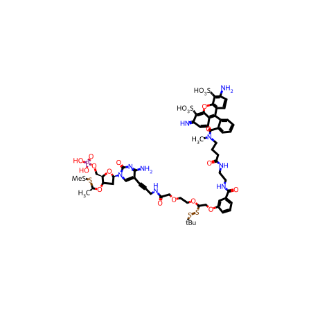 CSS[C@H](C)OC1C[C@H](n2cc(C#CCNC(=O)COCCOC(COc3cccc(C(=O)NCCNC(=O)CCCN(C)C(=O)c4ccccc4-c4c5ccc(=N)c(S(=O)(=O)O)c-5oc5c(S(=O)(=O)O)c(N)ccc45)c3)SSC(C)(C)C)c(N)nc2=O)O[C@@H]1COP(=O)(O)O